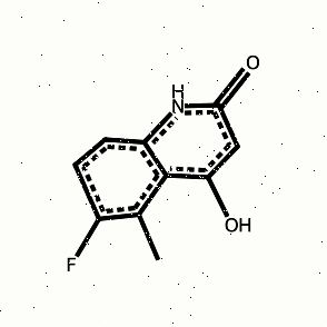 Cc1c(F)ccc2[nH]c(=O)cc(O)c12